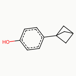 Oc1ccc(C23CC(C2)C3)cc1